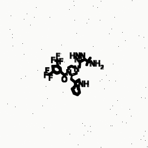 CC(C)(N)c1n[nH]nc1CN1CCN(C(=O)c2cc(C(F)(F)F)cc(C(F)(F)F)c2)[C@H](Cc2c[nH]c3ccccc23)C1